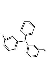 Clc1ccnc(P(c2ccccc2)c2cc(Cl)ccn2)c1